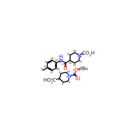 CC(C)(C)OC(=O)N1CCC(C(=O)O)CC1.Cc1ccc(NC(=O)C2CCN(C(=O)O)CC2)cc1